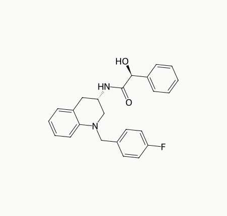 O=C(N[C@H]1Cc2ccccc2N(Cc2ccc(F)cc2)C1)[C@@H](O)c1ccccc1